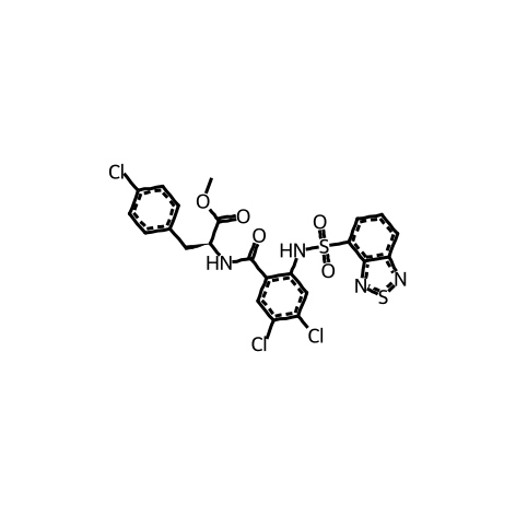 COC(=O)[C@H](Cc1ccc(Cl)cc1)NC(=O)c1cc(Cl)c(Cl)cc1NS(=O)(=O)c1cccc2nsnc12